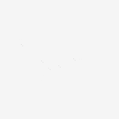 CCOC(=O)c1cc(Cc2cc(-c3ccc(CC[N+](=O)[O-])c(Cl)n3)c(N3CC4(CC4)C3)nc2Cl)no1